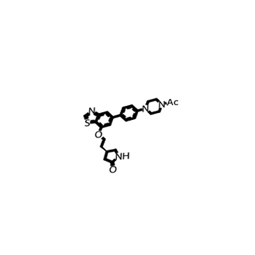 CC(=O)N1CCN(c2ccc(-c3cc(OCC[C@H]4CNC(=O)C4)c4scnc4c3)cc2)CC1